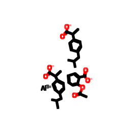 CC(=O)Oc1ccccc1C(=O)[O-].CC(C)Cc1ccc(C(C)C(=O)[O-])cc1.CC(C)Cc1ccc(C(C)C(=O)[O-])cc1.[Al+3]